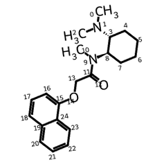 CN(C)[C@@H]1CCCC[C@H]1N(C)C(=O)COc1cccc2ccccc12